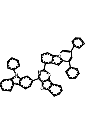 C/C=C(\C=C(\c1ccccc1)c1cc2c(-c3nc(-c4ccc5c6ccccc6n(-c6ccccc6)c5c4)c4oc5ccccc5c4n3)cccc2o1)c1ccccc1